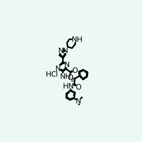 CN(C)c1cccc(NC(=O)[C@H](OC(=O)c2nc(-c3cnn(C4CCNCC4)c3)cnc2N)c2ccccc2)c1.Cl